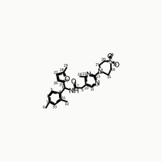 Cc1ccc(C(NC(=O)Cc2cnc(N3CCS(=O)(=O)CC3)nc2C)c2ccc(C)o2)c(C)c1